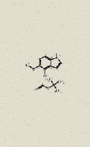 CC(C)(C)OC=O.Clc1c(CBr)ccc2[nH]ccc12